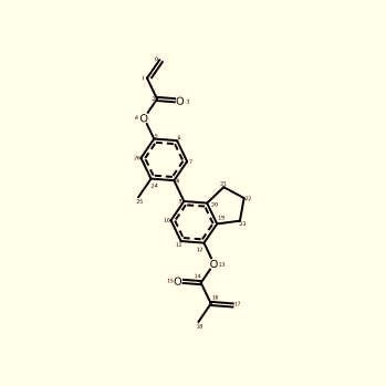 C=CC(=O)Oc1ccc(-c2ccc(OC(=O)C(=C)C)c3c2CCC3)c(C)c1